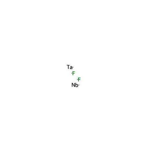 [F].[F].[Nb].[Ta]